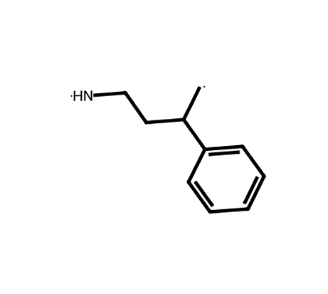 [CH2]C(CC[NH])c1ccccc1